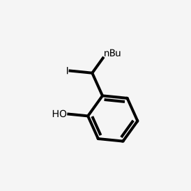 CCCCC(I)c1ccccc1O